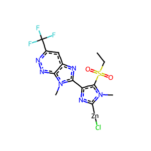 CCS(=O)(=O)c1c(-c2nc3cc(C(F)(F)F)nnc3n2C)n[c]([Zn][Cl])n1C